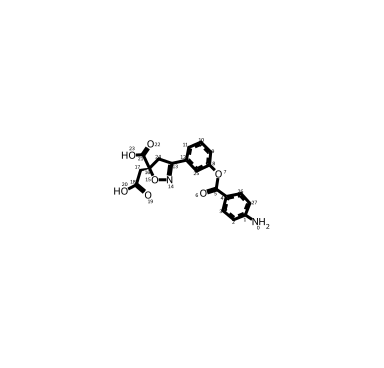 Nc1ccc(C(=O)Oc2cccc(C3=NO[C@](CC(=O)O)(C(=O)O)C3)c2)cc1